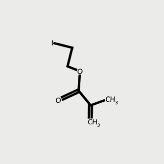 C=C(C)C(=O)OCCI